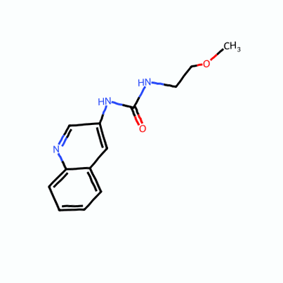 COCCNC(=O)Nc1cnc2ccccc2c1